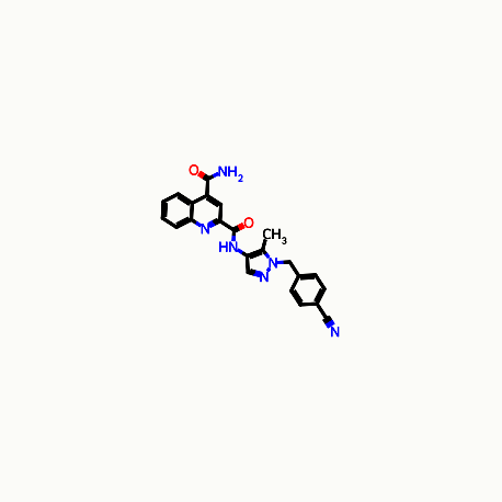 Cc1c(NC(=O)c2cc(C(N)=O)c3ccccc3n2)cnn1Cc1ccc(C#N)cc1